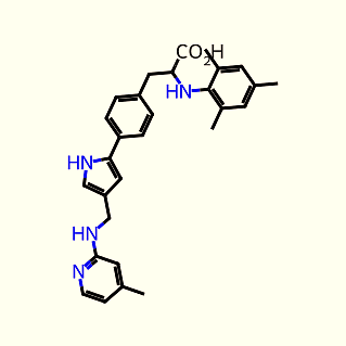 Cc1ccnc(NCc2c[nH]c(-c3ccc(CC(Nc4c(C)cc(C)cc4C)C(=O)O)cc3)c2)c1